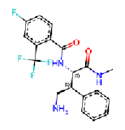 CNC(=O)[C@@H](NC(=O)c1ccc(F)cc1C(F)(F)F)[C@H](CN)c1ccccc1